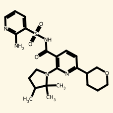 CC1CCN(c2nc(C3CCCOC3)ccc2C(=O)NS(=O)(=O)c2cccnc2N)C1(C)C